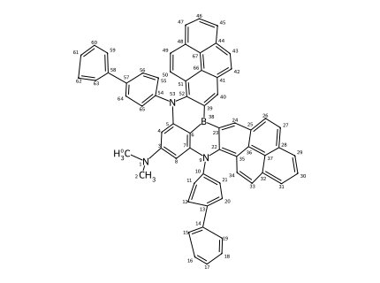 CN(C)c1cc2c3c(c1)N(c1ccc(-c4ccccc4)cc1)c1c(cc4ccc5cccc6ccc1c4c56)B3c1cc3ccc4cccc5ccc(c1N2c1ccc(-c2ccccc2)cc1)c3c45